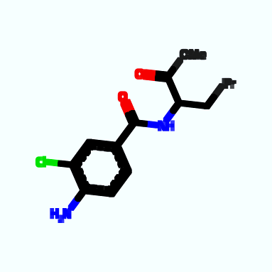 COC(=O)C(CC(C)C)NC(=O)c1ccc(N)c(Cl)c1